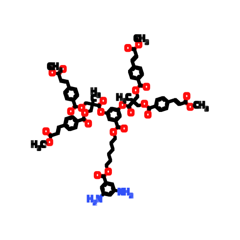 COC(=O)/C=C/c1ccc(C(=O)OCC(C)(COC(=O)c2ccc(/C=C/C(=O)OC)cc2)C(=O)Oc2cc(OC(=O)C(C)(COC(=O)c3ccc(/C=C/C(=O)OC)cc3)COC(=O)c3ccc(/C=C/C(=O)OC)cc3)cc(C(=O)OCCCCCCOC(=O)c3cc(N)cc(N)c3)c2)cc1